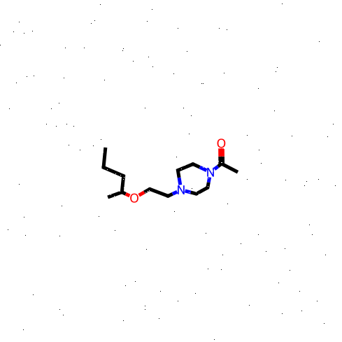 CCCC(C)OCCN1CCN(C(C)=O)CC1